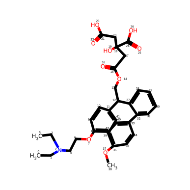 CCN(CC)CCOc1ccc(C(COC(=O)CC(O)(CC(=O)O)C(=O)O)c2ccccc2-c2ccc(OC)cc2)cc1